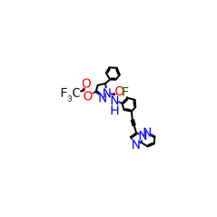 O=C(Nc1cc(C#Cc2cnc3cccnn23)ccc1F)N1N=C(OC(=O)C(F)(F)F)CC1c1ccccc1